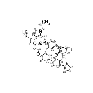 CCCCOCCOc1ccc(-c2ccc(N3CCCC3)c(C=C(CC)C(=O)Nc3ccc([S@@+]([O-])Cc4cncn4CCC)cc3)c2)cc1